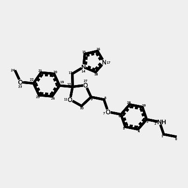 CCNc1ccc(OCC2COC(Cn3ccnc3)(c3ccc(OC)cc3)O2)cc1